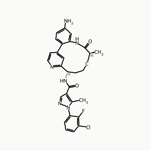 Cc1c(C(=O)N[C@H]2CCC[C@H](C)C(=O)Nc3cc(N)ccc3-c3ccnc2c3)cnn1-c1cccc(Cl)c1F